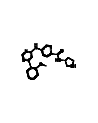 COc1ccccc1-c1cc(Nc2ccc(C(=O)NC3CCNC3)cc2)ncn1